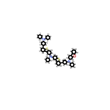 c1ccc(N(c2ccccc2)c2ccc(-c3cccc4c3sc3ccc(N(c5ccccc5)c5ccc6sc7c(-c8ccc(N(c9ccccc9)c9ccc%10c(c9)oc9ccccc9%10)cc8)cccc7c6c5)cc34)cc2)cc1